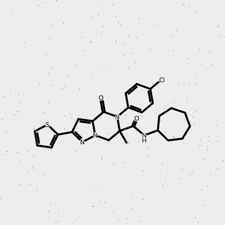 CC1(C(=O)NC2CCCCCC2)Cn2nc(-c3cccs3)cc2C(=O)N1c1ccc(Cl)cc1